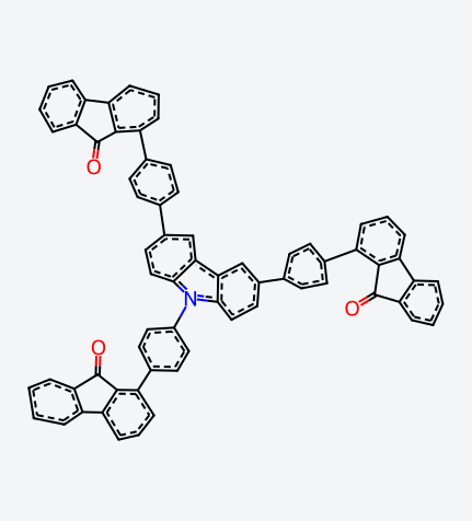 O=C1c2ccccc2-c2cccc(-c3ccc(-c4ccc5c(c4)c4cc(-c6ccc(-c7cccc8c7C(=O)c7ccccc7-8)cc6)ccc4n5-c4ccc(-c5cccc6c5C(=O)c5ccccc5-6)cc4)cc3)c21